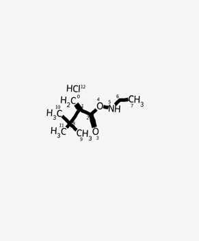 C=C(C(=O)ONCC)C(C)(C)C.Cl